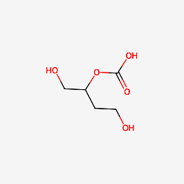 O=C(O)OC(CO)CCO